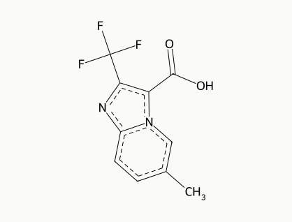 Cc1ccc2nc(C(F)(F)F)c(C(=O)O)n2c1